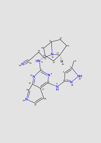 Cc1cc(Nc2nc(N[C@@H]3CC4CC[C@@H](C3)N4CCC#N)nc3cnccc23)n[nH]1